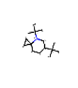 CC(C)(C)C1CCC2(CC2)N(C(C)(C)C)C1